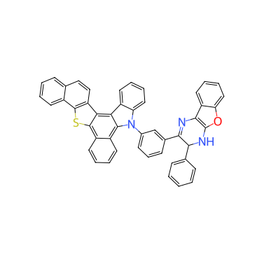 c1ccc(C2Nc3oc4ccccc4c3N=C2c2cccc(-n3c4ccccc4c4c5c6ccc7ccccc7c6sc5c5ccccc5c43)c2)cc1